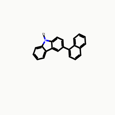 CCn1c2ccccc2c2cc(-c3cccc4ccccc34)ccc21